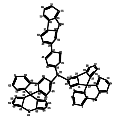 c1ccc2c(c1)Sc1ccccc1C21c2ccccc2-c2cc(N(c3ccc(-c4ccc5c(c4)sc4ccccc45)cc3)c3ccc4c(c3)-c3ccccc3C43c4ccccc4Sc4ccccc43)ccc21